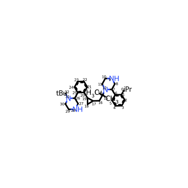 CC(C)c1ccccc1C1CNCCN1C(C)(C)CC1CC1c1ccccc1C1CNCCN1C(C)(C)C